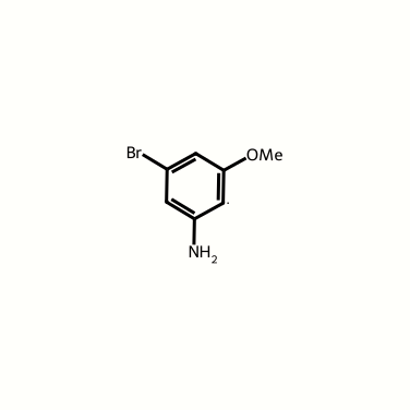 COc1[c]c(N)cc(Br)c1